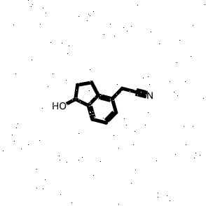 N#CCc1cccc2c1CCC2O